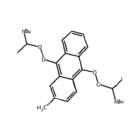 CCCCC(I)OOc1c2ccccc2c(OOC(I)CCCC)c2cc(C)ccc12